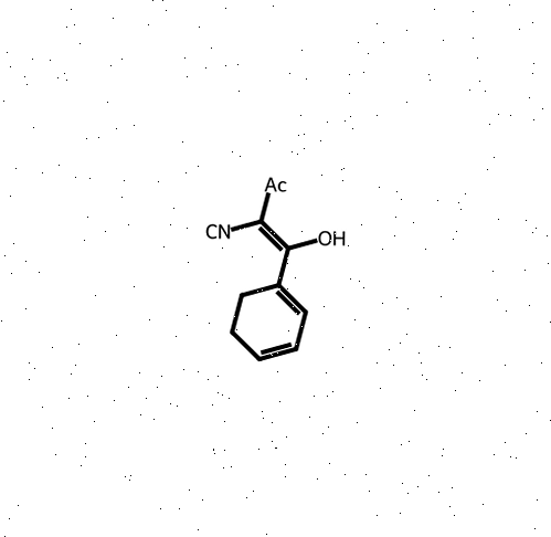 [C-]#[N+]/C(C(C)=O)=C(/O)C1=CC=CCC1